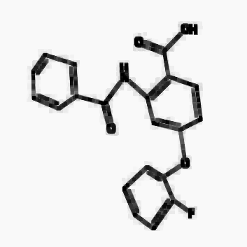 O=C(Nc1cc(Oc2ccccc2F)ccc1C(=O)O)c1ccccc1